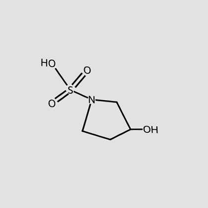 O=S(=O)(O)N1CCC(O)C1